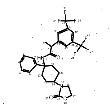 CC(C(=O)NC1(c2ccccc2)CCC(N2CCOC2=O)CC1)c1cc(C(F)(F)F)cc(C(F)(F)F)c1